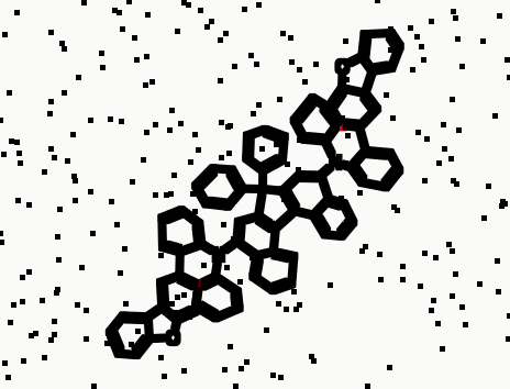 c1ccc(N(c2ccccc2-c2ccc3oc4ccccc4c3c2)c2cc3c(c4ccccc24)-c2c(cc(N(c4ccccc4)c4ccccc4-c4ccc5oc6ccccc6c5c4)c4ccccc24)C3(c2ccccc2)c2ccccc2)cc1